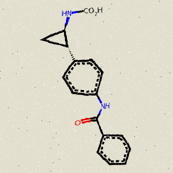 O=C(O)N[C@@H]1C[C@H]1c1ccc(NC(=O)c2ccccc2)cc1